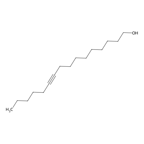 CCCCCC#CCCCCCCCCCO